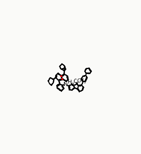 CC1(C)c2cc(N(c3ccc(C4CC5CCC4C5)cc3)c3ccccc3-c3ccccc3C3CCCCC3)ccc2-c2cccc(-c3ccc(-c4ccccc4)cc3)c21